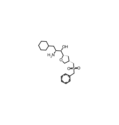 N[C@@H](CC1CCCCC1)[C@@H](O)[C@@H]1C[C@H](CS(=O)(=O)Cc2ccccc2)CO1